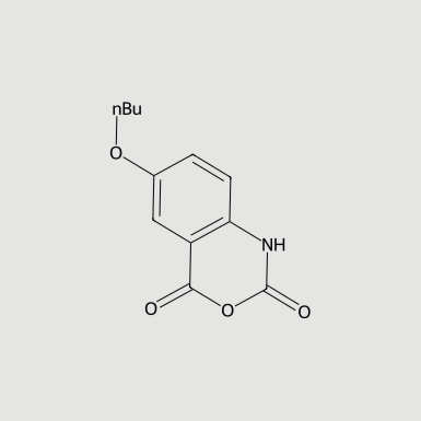 CCCCOc1ccc2[nH]c(=O)oc(=O)c2c1